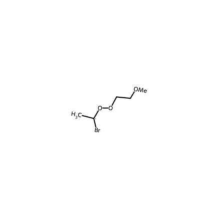 COCCOO[C](C)Br